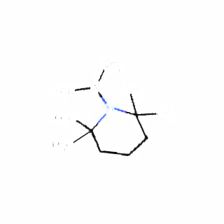 [CH3][Al]([CH3])[N]1C(C)(C)CCCC1(C)C